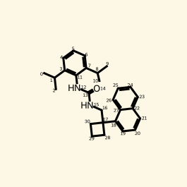 CC(C)c1cccc(C(C)C)c1NC(=O)NCC1(c2cccc3ccccc23)CCC1